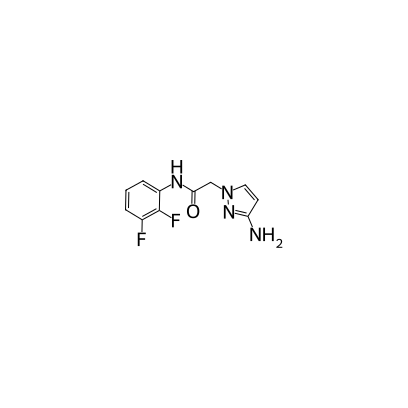 Nc1ccn(CC(=O)Nc2cccc(F)c2F)n1